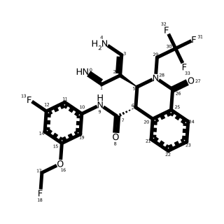 N=C/C(=C\N)[C@@H]1[C@@H](C(=O)Nc2cc(F)cc(OCF)c2)c2ccccc2C(=O)N1CC(F)(F)F